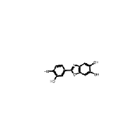 Oc1ccc(-c2nc3cc(O)c(O)cc3o2)cc1O